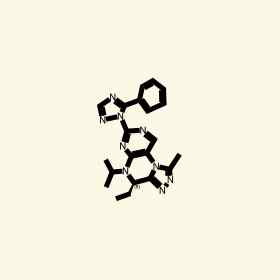 CC[C@@H]1c2nnc(C)n2-c2cnc(-n3ncnc3-c3ccccc3)nc2N1C(C)C